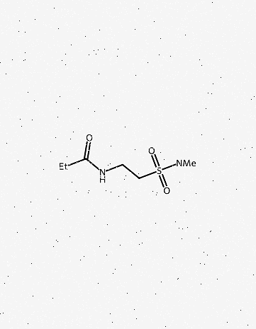 CCC(=O)NCCS(=O)(=O)NC